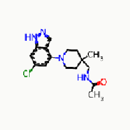 CC(=O)NCC1(C)CCN(c2cc(Cl)cc3[nH]ncc23)CC1